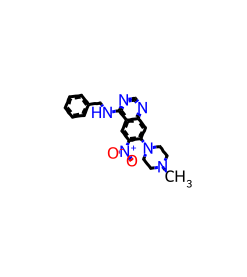 CN1CCN(c2cc3ncnc(NCc4ccccc4)c3cc2[N+](=O)[O-])CC1